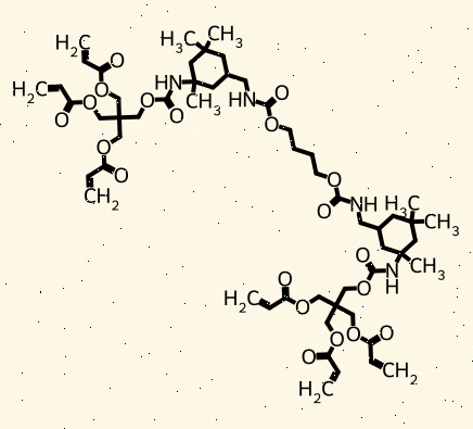 C=CC(=O)OCC(COC(=O)C=C)(COC(=O)C=C)COC(=O)NC1(C)CC(CNC(=O)OCCCCOC(=O)NCC2CC(C)(C)CC(C)(NC(=O)OCC(COC(=O)C=C)(COC(=O)C=C)COC(=O)C=C)C2)CC(C)(C)C1